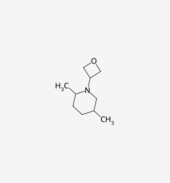 CC1CCC(C)N(C2COC2)C1